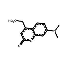 CCOC(=O)Cc1cc(=O)oc2cc(N(C)C)ccc12